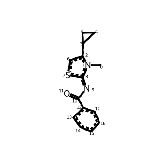 Cn1c(C2CC2)csc1=NC(=O)c1ccccc1